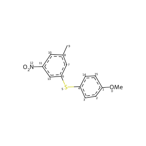 COc1ccc(Sc2cc(C)cc([N+](=O)[O-])c2)cc1